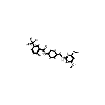 COc1cc(OC)nc(NCC2CCC(NC(=O)c3cc(C(F)(F)F)ccc3Cl)CC2)n1